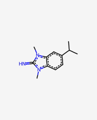 CC(C)c1ccc2c(c1)n(C)c(=N)n2C